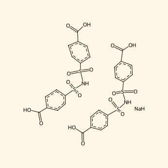 O=C(O)c1ccc(S(=O)(=O)NS(=O)(=O)c2ccc(C(=O)O)cc2)cc1.O=C(O)c1ccc(S(=O)(=O)NS(=O)(=O)c2ccc(C(=O)O)cc2)cc1.[NaH]